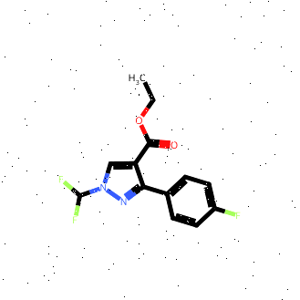 CCOC(=O)c1cn(C(F)F)nc1-c1ccc(F)cc1